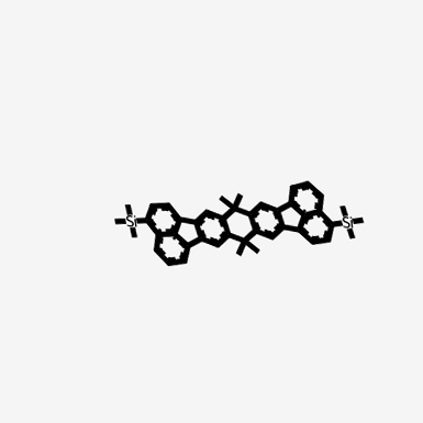 CC1(C)c2cc3c(cc2C(C)(C)c2cc4c(cc21)-c1ccc([Si](C)(C)C)c2cccc-4c12)-c1ccc([Si](C)(C)C)c2cccc-3c12